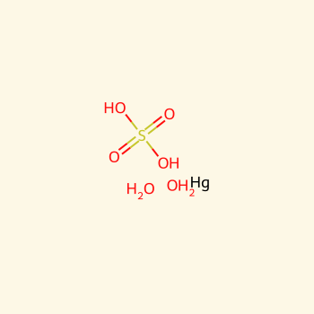 O.O.O=S(=O)(O)O.[Hg]